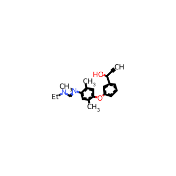 C#CC(O)c1cccc(Oc2cc(C)c(N=CN(C)CC)cc2C)c1